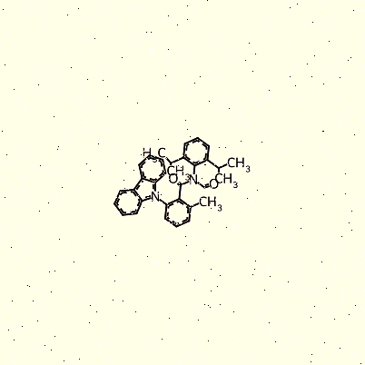 Cc1cccc(-n2c3ccccc3c3ccccc32)c1C(=O)N(C=O)c1c(C(C)C)cccc1C(C)C